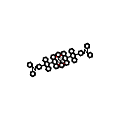 c1ccc(N(c2ccccc2)c2ccc(-c3c4ccccc4c(-c4c5ccccc5c([Si](c5ccccc5)(c5ccccc5)c5c6ccccc6c(-c6c7ccccc7c(-c7ccc(N(c8ccccc8)c8ccccc8)cc7)c7ccccc67)c6ccccc56)c5ccccc45)c4ccccc34)cc2)cc1